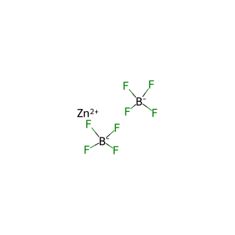 F[B-](F)(F)F.F[B-](F)(F)F.[Zn+2]